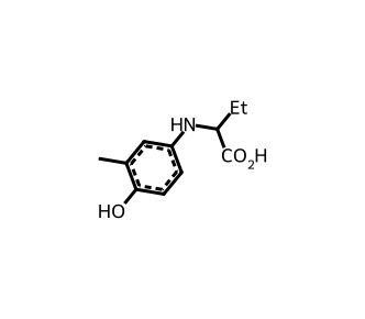 CCC(Nc1ccc(O)c(C)c1)C(=O)O